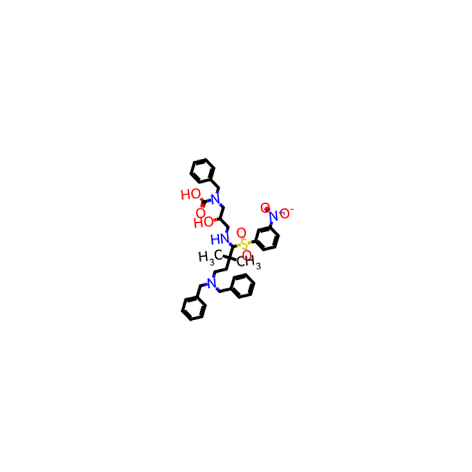 CC(C)(CCN(Cc1ccccc1)Cc1ccccc1)C(NCC(O)CN(Cc1ccccc1)C(=O)O)S(=O)(=O)c1cccc([N+](=O)[O-])c1